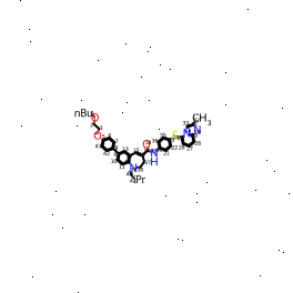 CCCCOCCOc1ccc(-c2ccc3c(c2)C=C(C(=O)Nc2ccc(Sc4cccc5nc(C)cn45)cc2)CCN3CC(C)C)cc1